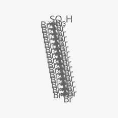 O=S(=O)(O)C(Br)(Br)C(Br)(Br)C(Br)(Br)C(Br)(Br)C(Br)(Br)C(Br)(Br)C(Br)(Br)C(Br)(Br)C(Br)(Br)C(Br)(Br)C(Br)(Br)C(Br)(Br)C(Br)(Br)C(Br)(Br)C(Br)(Br)Br